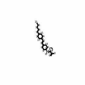 C=C(C)C(=O)N(C)C1CCC(/C=C/C2CCC(CCCCC)CC2)CC1